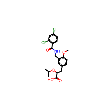 COc1ccc(CC(OC(C)C)C(=O)O)cc1CNC(=O)c1ccc(Cl)cc1Cl